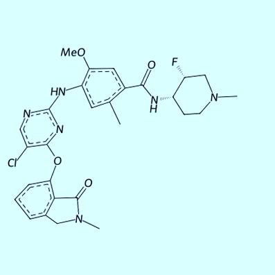 COc1cc(C(=O)N[C@H]2CCN(C)C[C@H]2F)c(C)cc1Nc1ncc(Cl)c(Oc2cccc3c2C(=O)N(C)C3)n1